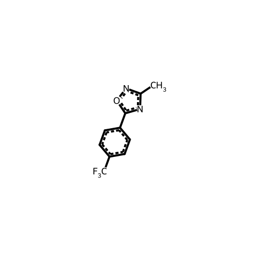 Cc1noc(-c2ccc(C(F)(F)F)cc2)n1